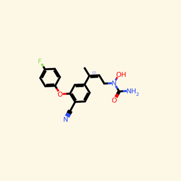 C/C(=C/CN(O)C(N)=O)c1ccc(C#N)c(Oc2ccc(F)cc2)c1